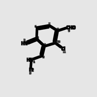 CCN/C=C1\C(=N)C=CC(C=O)=C1Cl